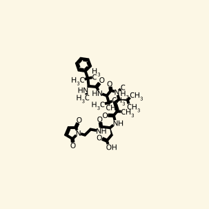 CN[C@H](C(=O)NC(C(=O)N(C)[C@H](/C=C(\C)C(=O)N[C@@H](CC(=O)O)C(=O)NCCN1C(=O)C=CC1=O)C(C)C)C(C)(C)C)C(C)(C)c1ccccc1